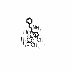 CC1CCC([C@@H](O)[C@@H](N)Cc2ccccc2)N1C(=O)OC(C)(C)C